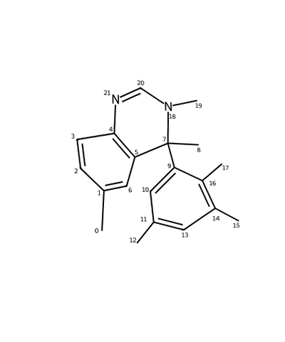 Cc1ccc2c(c1)C(C)(c1cc(C)cc(C)c1C)N(C)C=N2